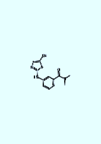 CN(C)C(=O)c1cccc(Nc2ncc(C#N)s2)c1